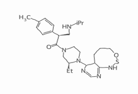 CC[C@H]1CN(C(=O)[C@H](CNC(C)C)c2ccc(C)cc2)CCN1C1N=CN=C2NSOCCCC21